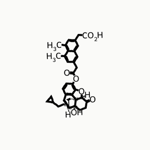 Cc1cc(CC(=O)O)cc2cc(CC(=O)Oc3ccc4c5c3O[C@H]3C(=O)CC[C@@]6(O)[C@@H](C4)N(CC4CC4)CC[C@]536)cc(C)c12